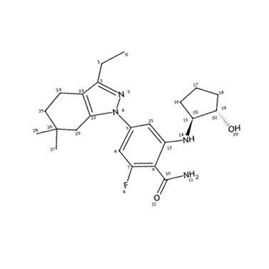 CCc1nn(-c2cc(F)c(C(N)=O)c(N[C@H]3CCC[C@@H]3O)c2)c2c1CCC(C)(C)C2